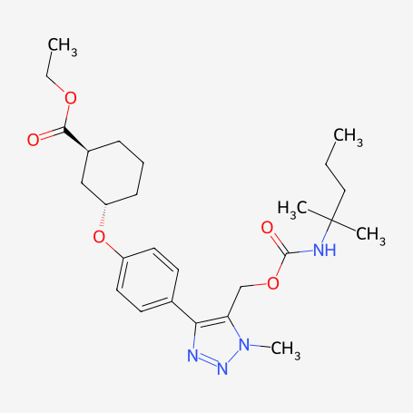 CCCC(C)(C)NC(=O)OCc1c(-c2ccc(O[C@H]3CCC[C@H](C(=O)OCC)C3)cc2)nnn1C